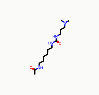 CC(=O)NCCCCCCNC(=O)NCCCN(C)C